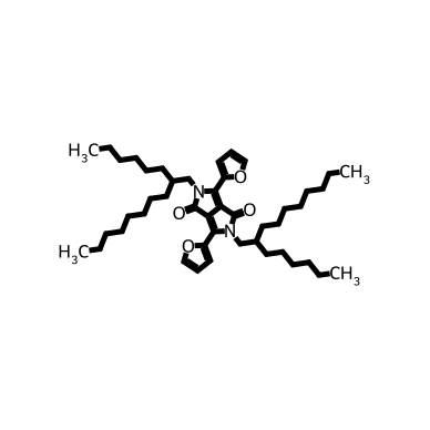 CCCCCCCCC(CCCCCC)CN1C(=O)C2=C(c3ccco3)N(CC(CCCCCC)CCCCCCCC)C(=O)C2=C1c1ccco1